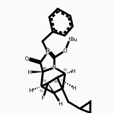 CC(C)(C)OC(=O)N1[C@H]2CC[C@H]([C@@H](F)[C@@H]2CC2CC2)[C@@H]1C(=O)OCc1ccccc1